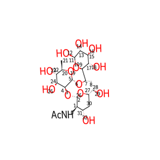 CC(=O)N[C@H]1[C@H](O[C@@H]2[C@@H](O[C@@H](C)[C@H]3O[C@@H](O)[C@H](O)[C@@H](O)[C@@H]3O)O[C@H](C)[C@@H](O)[C@@H]2O)O[C@H](CO)C[C@@H]1O